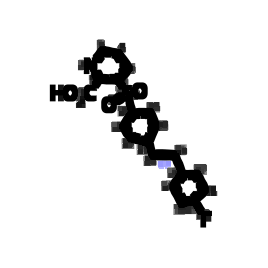 O=C(O)c1ncccc1S(=O)(=O)c1ccc(/C=C/c2ccc(F)cc2)cc1